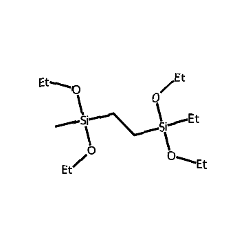 CCO[Si](C)(CC[Si](CC)(OCC)OCC)OCC